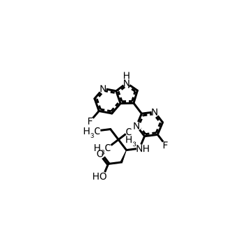 CCC(C)(C)[C@H](CC(=O)O)Nc1nc(-c2c[nH]c3ncc(F)cc23)ncc1F